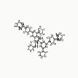 N=C(NC(Cc1ccccc1)c1cc(-c2ccccc2)cc(-c2ccc(-c3ncccn3)cc2)c1)c1cc(-c2ccccc2)cc(-c2ccc(-c3ncccn3)cc2)c1